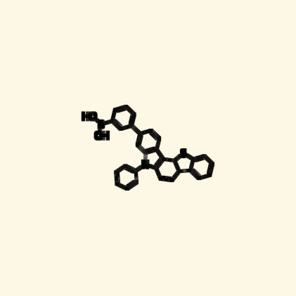 OB(O)c1cccc(-c2ccc3c4c(n(-c5ccccc5)c3c2)C=CC2c3ccccc3SC42)c1